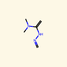 C=NNC(=C)N(C)C